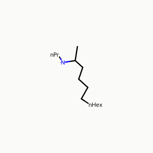 CCCCCCCCCCC(C)[N]CCC